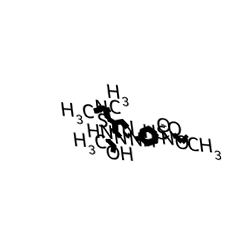 CCOC(=O)/N=[SH](=O)/c1ccc(Nc2ncc(-c3sc(C)nc3C)c(N[C@H](C)CO)n2)cc1